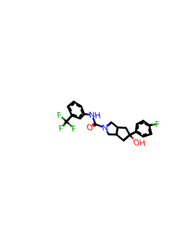 O=C(Nc1cccc(C(F)(F)F)c1)N1CC2CC(O)(c3ccc(F)cc3)CC2C1